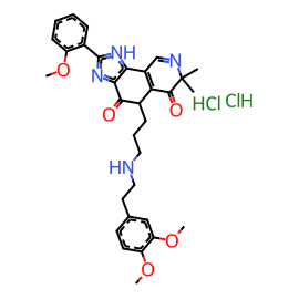 COc1ccc(CCNCCCC2C(=O)c3nc(-c4ccccc4OC)[nH]c3C3=C2C(=O)C(C)(C)N=C3)cc1OC.Cl.Cl